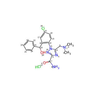 CN(C)Cc1nc(C(N)=O)nn1-c1ccc(Cl)cc1C(O)c1ccccc1.Cl